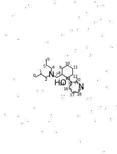 CCCN(CCC)CC1CCCCC1(O)c1cccnc1